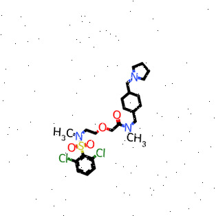 CN(CC1CCC(CN2CCCC2)CC1)C(=O)COCCN(C)S(=O)(=O)c1c(Cl)cccc1Cl